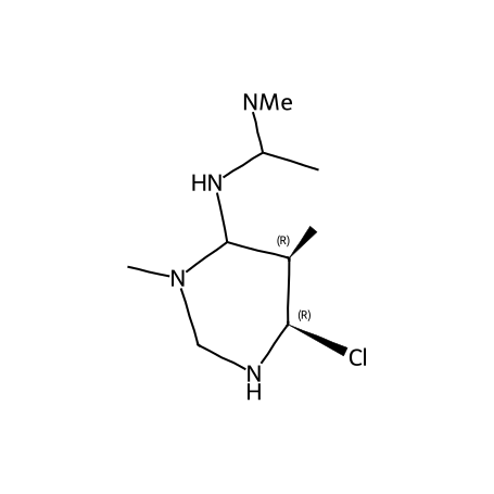 CNC(C)NC1[C@@H](C)[C@@H](Cl)NCN1C